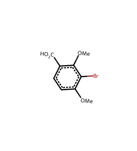 COc1ccc(C(=O)O)c(OC)c1Br